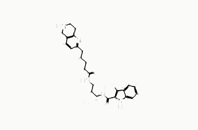 O=C(CCCCc1ccc2c(n1)CCNC2)NCC[C@H](NC(=O)c1[nH]c2ccccc2c1F)C(=O)O